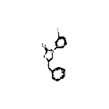 O=C1OC(Cc2ccccc2)CN1c1cccc(F)c1